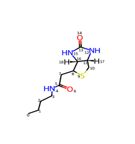 CCCCNC(=O)CC1SC[C@H]2NC(=O)N[C@@H]12